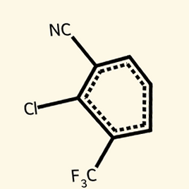 N#Cc1cccc(C(F)(F)F)c1Cl